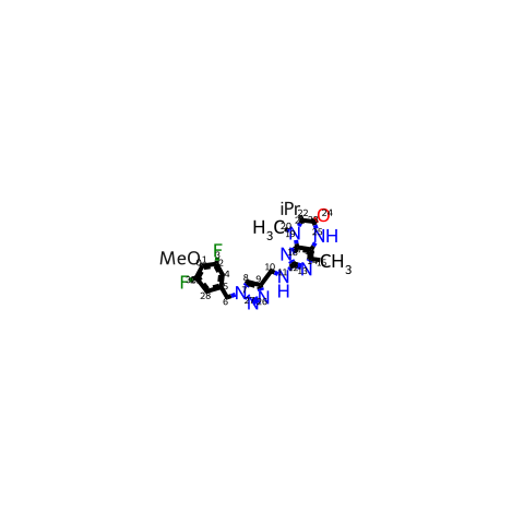 COc1c(F)cc(Cn2cc(CNc3nc(C)c4c(n3)N(C)C(C(C)C)C(=O)N4)nn2)cc1F